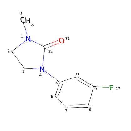 CN1CCN(c2cc[c]c(F)c2)C1=O